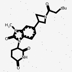 Cn1c(=O)n(C2CCC(=O)NC2=O)c2ccc(C3CN(C(=O)CC(C)(C)C)C3)cc21